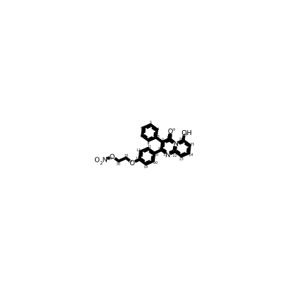 O=c1c(-c2ccccc2)c(-c2ccc(OCCO[N+](=O)[O-])cc2)nc2cccc(O)n12